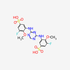 COc1c(F)cc(S(=O)(=O)O)cc1Nc1ncnc(Nc2cc(S(=O)(=O)O)cc(F)c2OC)n1